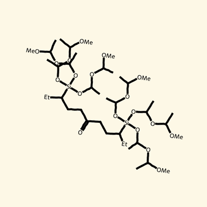 CCC(CCC(=O)CCC(CC)[Si](OC(C)OC(C)OC)(OC(C)OC(C)OC)OC(C)OC(C)OC)[Si](OC(C)OC(C)OC)(OC(C)OC(C)OC)OC(C)OC(C)OC